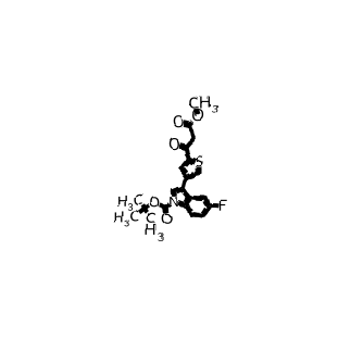 COC(=O)CC(=O)c1cc(-c2cn(C(=O)OC(C)(C)C)c3ccc(F)cc23)cs1